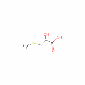 CSC[C@@H](O)C(=O)O